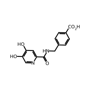 O=C(O)c1ccc(CNC(=O)c2cc(O)c(O)cn2)cc1